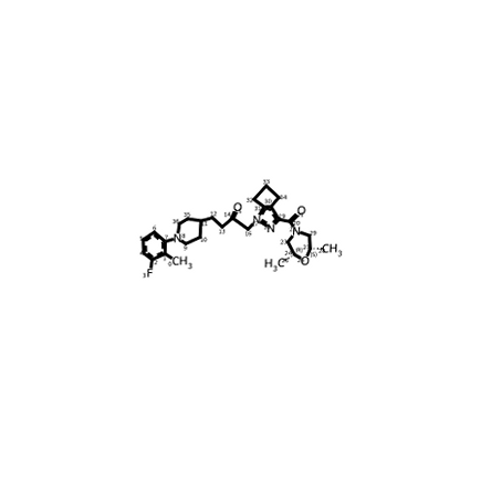 Cc1c(F)cccc1N1CCC(CCC(=O)Cn2nc(C(=O)N3C[C@@H](C)O[C@@H](C)C3)c3c2CCC3)CC1